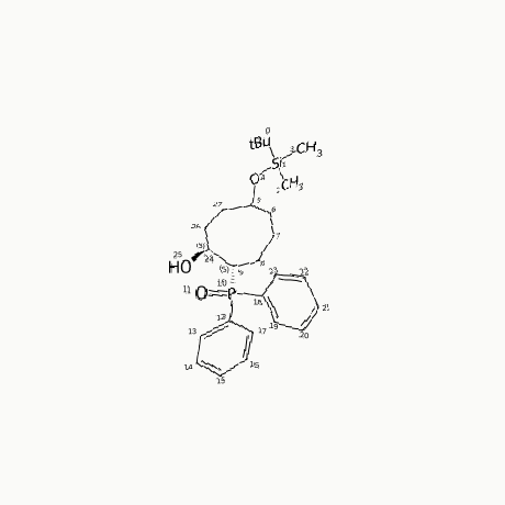 CC(C)(C)[Si](C)(C)OC1CCC[C@H](P(=O)(c2ccccc2)c2ccccc2)[C@@H](O)CC1